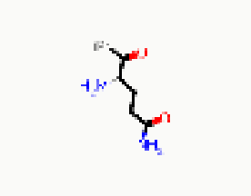 CC(C)C(=O)[C@@H](N)CCC(N)=O